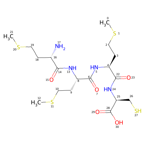 CSCC[C@H](NC(=O)[C@H](CCSC)NC(=O)[C@@H](N)CCSC)C(=O)N[C@@H](CS)C(=O)O